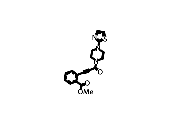 COC(=O)c1ccccc1C#CC(=O)N1CCN(c2nccs2)CC1